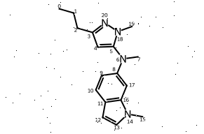 CCCc1cc(N(C)c2ccc3ccn(C)c3c2)n(C)n1